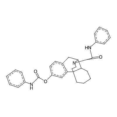 O=C(Nc1ccccc1)Oc1ccc2c(c1)C13CCCCC1C(C2)N(C(=O)Nc1ccccc1)CC3